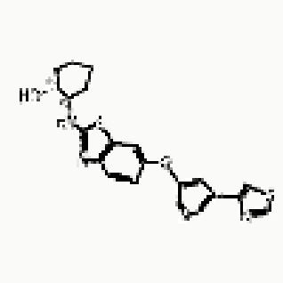 O[C@@H]1CCCC[C@H]1Nc1nc2ccc(Oc3cncc(-c4cscn4)c3)cc2s1